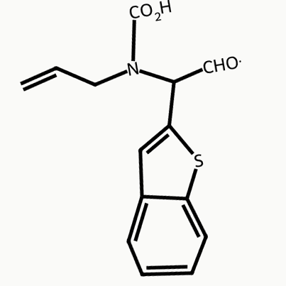 C=CCN(C(=O)O)C([C]=O)c1cc2ccccc2s1